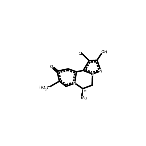 CC(C)(C)[C@@H]1Cn2nc(O)c(Cl)c2-c2cc(=O)c(C(=O)O)cn21